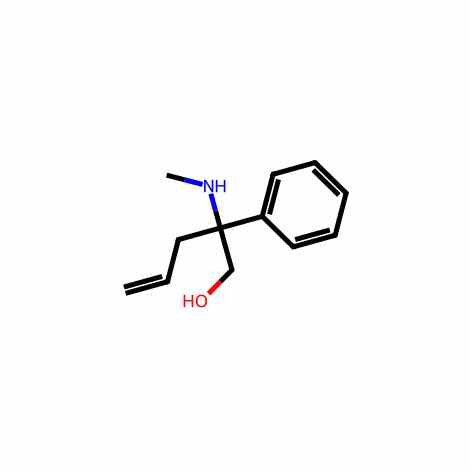 C=CCC(CO)(NC)c1ccccc1